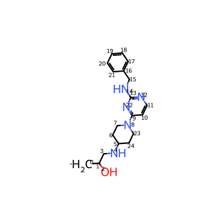 [CH2]C(O)CNC1CCN(c2ccnc(NCc3ccccc3)n2)CC1